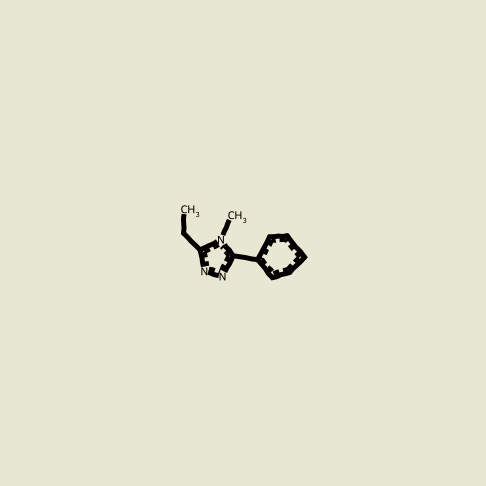 CCc1nnc(-c2ccccc2)n1C